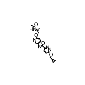 CC(=O)N[C@@H](C)COc1cc2oc(-c3ccc(OCC4CC4)nn3)nc2cn1